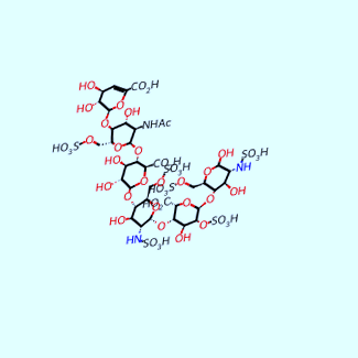 CC(=O)N[C@H]1[C@@H](O[C@H]2[C@H](O)[C@@H](O)[C@H](O[C@H]3[C@H](O)[C@@H](NS(=O)(=O)O)[C@@H](O[C@H]4[C@H](O)[C@@H](OS(=O)(=O)O)[C@H](O[C@H]5[C@H](O)[C@@H](NS(=O)(=O)O)C(O)O[C@@H]5COS(=O)(=O)O)O[C@H]4C(=O)O)O[C@@H]3COS(=O)(=O)O)O[C@@H]2C(=O)O)O[C@H](COS(=O)(=O)O)[C@@H](O[C@@H]2OC(C(=O)O)=C[C@H](O)[C@H]2O)[C@@H]1O